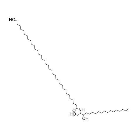 CCCCCCCCCCCCCCCC(O)C(CO)NC(=O)CCCCCCCCCCCCCCCCCCCCCCCCCCCCCCCCCCCO